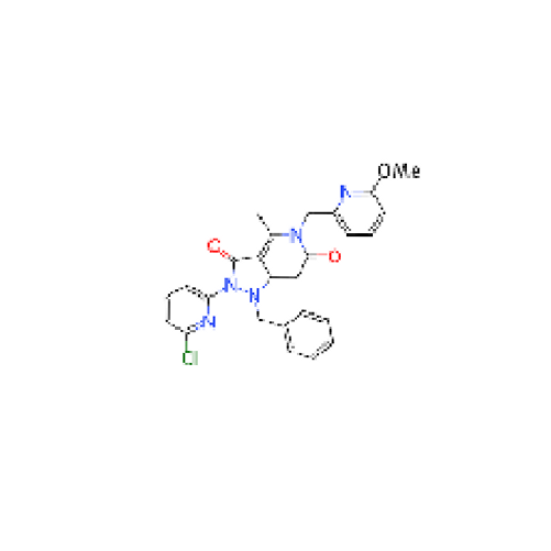 COc1cccc(Cn2c(C)c3c(=O)n(-c4cccc(Cl)n4)n(Cc4ccccc4)c3cc2=O)n1